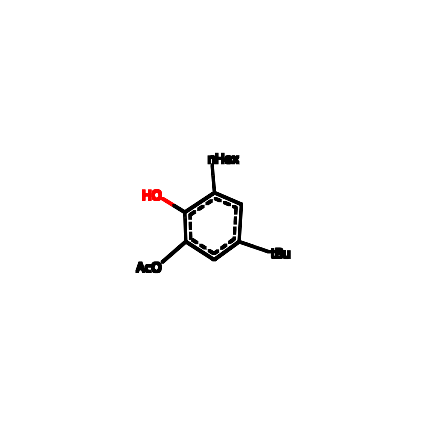 CCCCCCc1cc(C(C)(C)C)cc(OC(C)=O)c1O